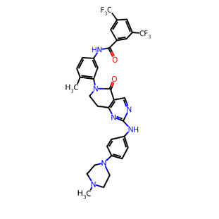 Cc1ccc(NC(=O)c2cc(C(F)(F)F)cc(C(F)(F)F)c2)cc1N1CCc2nc(Nc3ccc(N4CCN(C)CC4)cc3)ncc2C1=O